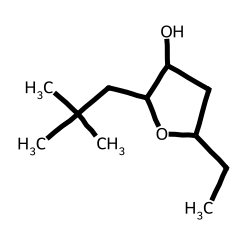 CCC1CC(O)C(CC(C)(C)C)O1